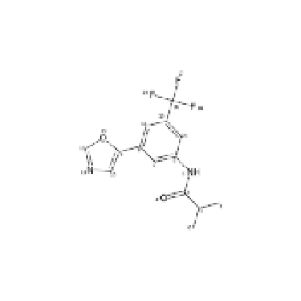 CC(C)C(=O)Nc1cc(-c2cnco2)cc(C(F)(F)F)c1